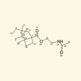 CCC(C)(CC)CC1(C(=O)OCCNC(C)=O)CCC1(C)CC